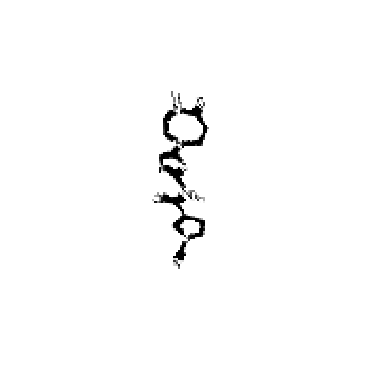 N#CN1CC[C@H](C(=O)Nc2ncc(N3CCNC(=O)CC3)s2)C1